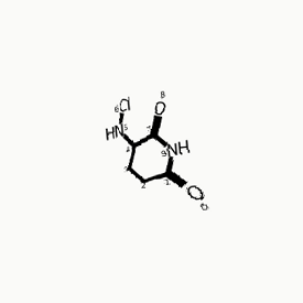 O=C1CCC(NCl)C(=O)N1